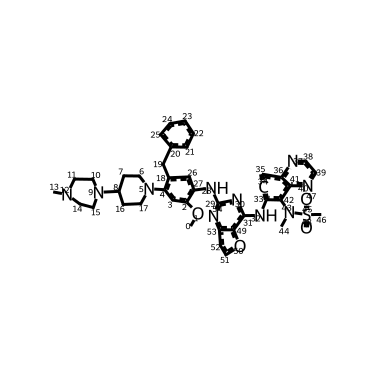 COc1cc(N2CCC(N3CCN(C)CC3)CC2)c(Cc2ccccc2)cc1Nc1nc(Nc2ccc3nccnc3c2N(C)S(C)(=O)=O)c2occc2n1